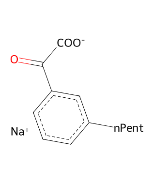 CCCCCc1cccc(C(=O)C(=O)[O-])c1.[Na+]